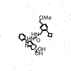 COCc1ccc(C2CCC2)c(CNC(=O)Nc2c3c(nn2-c2ccccc2)CS(O)(O)C3)c1